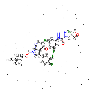 C[Si](C)(C)CCOCn1cc(-c2ccc(F)c(F)c2)c2c(Oc3c(F)cc(NC(=O)NCC4(F)COC4)cc3F)ccnc21